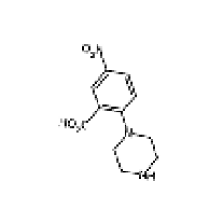 O=C(O)c1cc([N+](=O)[O-])ccc1N1CCNCC1